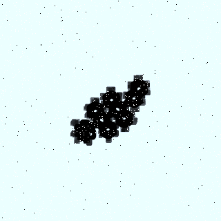 CC1(C)OB(c2c3ccccc3c(-c3c4ccccc4c(-c4ccc5ccccc5c4)c4ccccc34)c3ccccc23)OC1(C)C